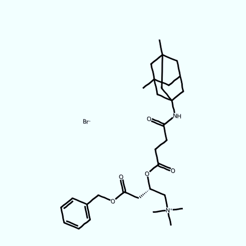 CC12CC3CC(C)(C1)CC(NC(=O)CCC(=O)O[C@@H](CC(=O)OCc1ccccc1)C[N+](C)(C)C)(C3)C2.[Br-]